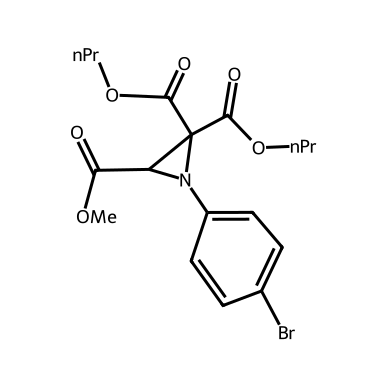 CCCOC(=O)C1(C(=O)OCCC)C(C(=O)OC)N1c1ccc(Br)cc1